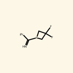 CC(C)C(=N)N1CC(F)(F)C1